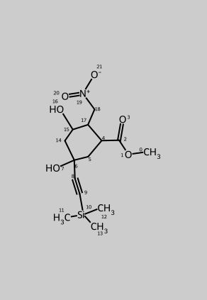 COC(=O)C1CC(O)(C#C[Si](C)(C)C)CC(O)C1C[N+](=O)[O-]